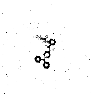 CCCCCCCCNC(=O)Nc1ccccc1C(=O)NC1CCN(C(c2ccccc2)c2ccccc2)CC1